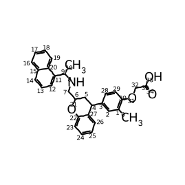 Cc1cc(C2CC(CN[C@H](C)c3cccc4ccccc34)Oc3ccccc32)ccc1OCC(=O)O